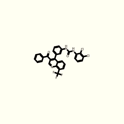 O=C(Nc1cccc(-c2c(C(=O)c3ccccc3)cnc3c(C(F)(F)F)cccc23)c1)Nc1cccc(Cl)c1Cl